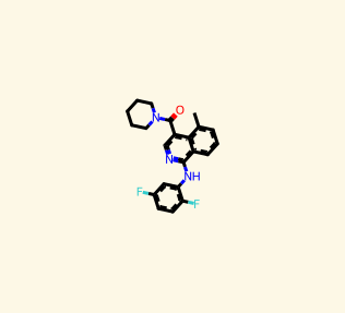 Cc1cccc2c(Nc3cc(F)ccc3F)ncc(C(=O)N3CCCCC3)c12